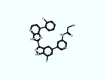 CC(C)CC(=O)Nc1cncc(-c2cc(F)c3[nH]nc(-c4nc5c(-c6ccccc6F)ccnc5[nH]4)c3c2)c1